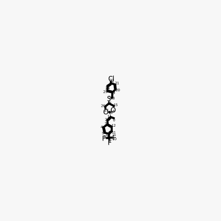 C/C(=C\c1ccc(C(F)(F)F)cc1)[C@H]1OC[C@H](SCc2ccc(Cl)cc2)CO1